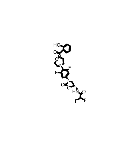 O=C(NC[C@H]1CN(c2cc(F)c(N3CCON(C(=O)c4ccccc4O)CC3)c(F)c2)C(=O)O1)C(F)F